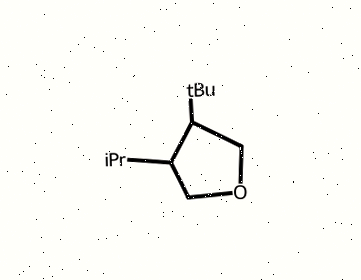 CC(C)C1COCC1C(C)(C)C